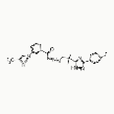 CC(C)(CN=[N+]=NC(=O)c1cccc(-n2cnc(C(F)(F)F)c2)c1)c1nc(-c2ccc(F)cc2)n[nH]1